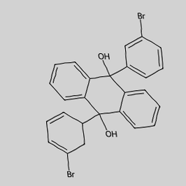 OC1(c2cccc(Br)c2)c2ccccc2C(O)(C2C=CC=C(Br)C2)c2ccccc21